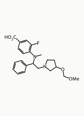 COCOC1CCN(CC(c2ccccc2)N(C)c2ccc(C(=O)O)cc2F)C1